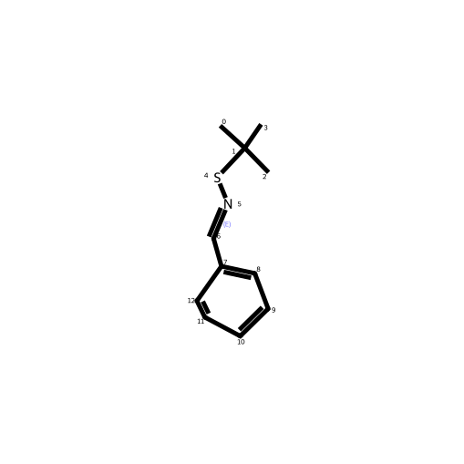 CC(C)(C)S/N=C/c1ccccc1